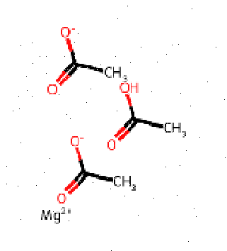 CC(=O)O.CC(=O)[O-].CC(=O)[O-].[Mg+2]